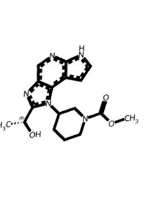 COC(=O)N1CCCC(n2c([C@@H](C)O)nc3cnc4[nH]ccc4c32)C1